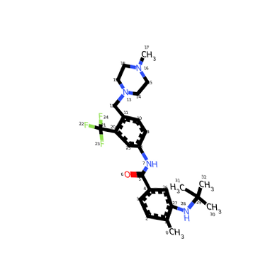 Cc1ccc(C(=O)Nc2ccc(CN3CCN(C)CC3)c(C(F)(F)F)c2)cc1NC(C)(C)C